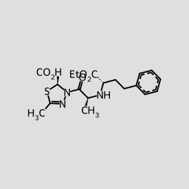 CCOC(=O)[C@H](CCc1ccccc1)N[C@@H](C)C(=O)N1N=C(C)S[C@H]1C(=O)O